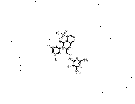 CS(=O)(=O)c1cccc2nc(CCNc3nc(N)nc(N)c3C#N)n(-c3cc(F)cc(F)c3)c(=O)c12